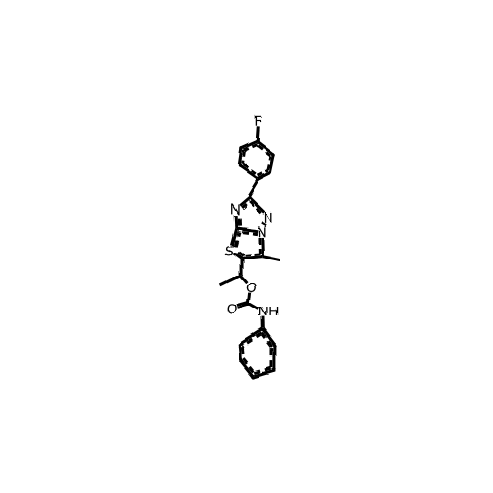 Cc1c(C(C)OC(=O)Nc2ccccc2)sc2nc(-c3ccc(F)cc3)nn12